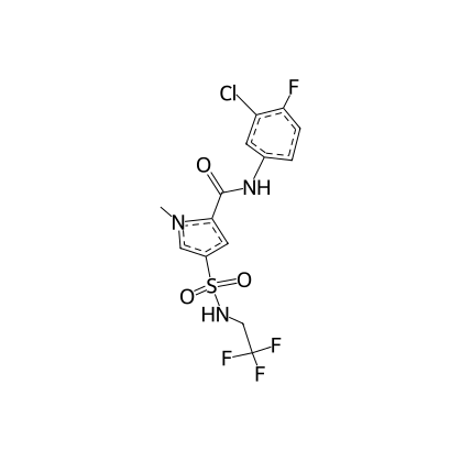 Cn1cc(S(=O)(=O)NCC(F)(F)F)cc1C(=O)Nc1ccc(F)c(Cl)c1